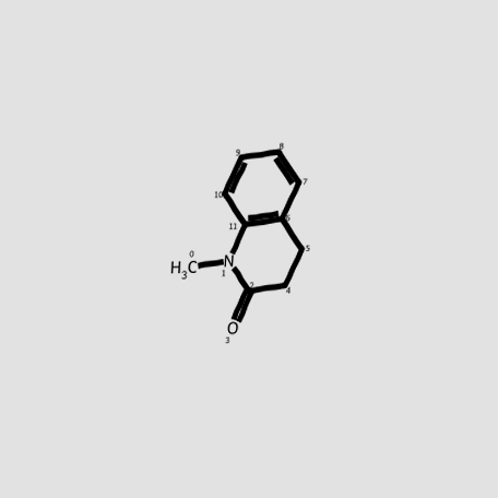 CN1C(=O)CCc2ccc[c]c21